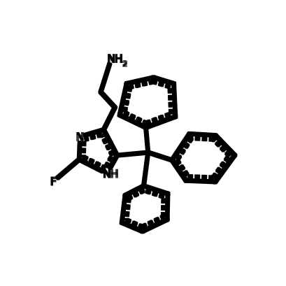 NCCc1nc(F)[nH]c1C(c1ccccc1)(c1ccccc1)c1ccccc1